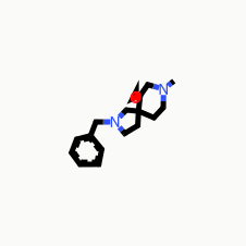 CN1CCC2(CCN(Cc3ccccc3)C2)C2(C1)OCCO2